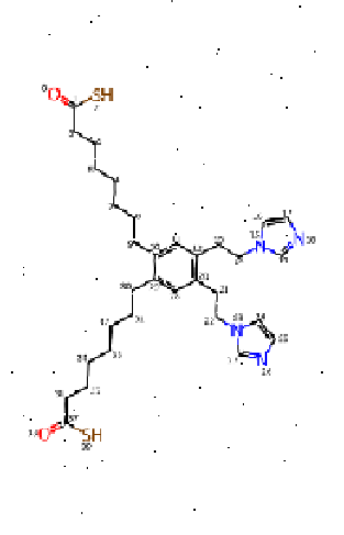 O=C(S)CCCCCCCc1cc(CCn2ccnc2)c(CCn2ccnc2)cc1CCCCCCCC(=O)S